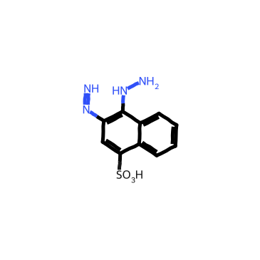 N=Nc1cc(S(=O)(=O)O)c2ccccc2c1NN